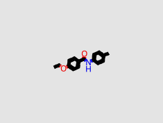 CCOc1ccc(C(=O)Nc2ccc(C)cc2)cc1